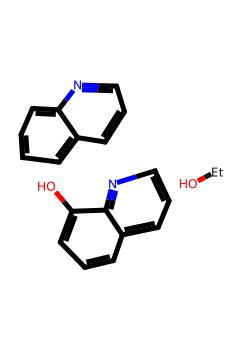 CCO.Oc1cccc2cccnc12.c1ccc2ncccc2c1